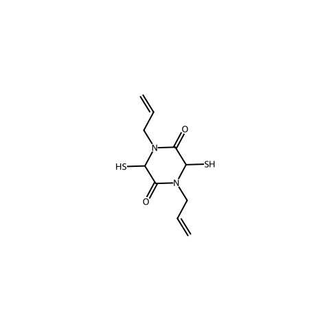 C=CCN1C(=O)C(S)N(CC=C)C(=O)C1S